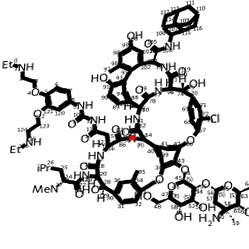 CCNCCOc1ccc(NC(=O)NC(=O)C[C@@H]2NC(=O)[C@H](NC(=O)[C@@H](CC(C)C)NC)[C@H](O)c3ccc(c(C)c3)Oc3cc4cc(c3O[C@@H]3O[C@H](CO)[C@@H](O)[C@H](O)[C@H]3O[C@H]3C[C@](C)(N)[C@H](O)[C@H](C)O3)Oc3ccc(cc3Cl)[C@@H](O)[C@@H]3NC(=O)[C@H](NC(=O)[C@@H]4NC2=O)c2ccc(O)c(c2)-c2c(C)cc(O)cc2[C@@H](C(=O)NC2C4CC5CC(C4)CC2C5)NC3=O)cc1OCCNCC